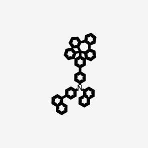 c1ccc(C2(c3ccc(-c4ccc(N(c5ccc(-c6cccc7ccccc67)cc5)c5cccc6ccccc56)cc4)cc3)c3ccccc3-c3ccccc3-c3ccccc32)cc1